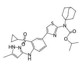 Cc1cc(Nc2ccc(-c3csc(N(C(=O)OC(C)C)C45CCC(CC4)CC5)n3)cc2S(=O)(=O)C2CC2)n[nH]1